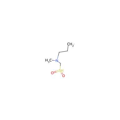 [CH2]CCN(C)C[SH](=O)=O